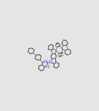 c1ccc(-c2ccc(-c3nc(-n4c5ccccc5c5cc6c(cc54)-c4ccccc4C64c5ccccc5C5(c6ccccc6-c6ccccc65)c5ccccc54)nc4ccccc34)cc2)cc1